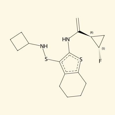 C=C(Nc1sc2c(c1SNC1CCC1)CCCC2)[C@H]1C[C@@H]1F